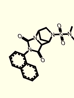 CN(C)S(=O)(=O)N1CC2CC1C1C(=O)N(c3cccc4ccccc34)C(=O)N21